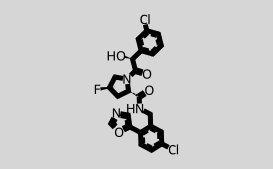 O=C(NCc1cc(Cl)ccc1-c1cnco1)[C@@H]1C[C@@H](F)CN1C(=O)[C@H](O)c1cccc(Cl)c1